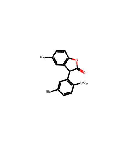 COc1ccc(C(C)(C)C)cc1C1C(=O)Oc2ccc(C(C)(C)C)cc21